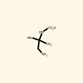 CCCCC(C)(CN)NC(=O)O